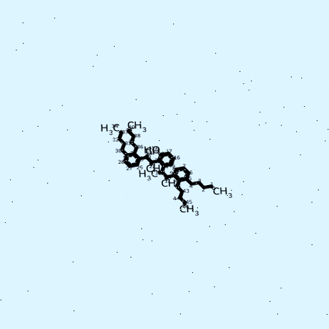 CCCCCc1cccc(C(C)C(C)c2cccc(O)c2C(C)C(C)c2cccc(CCCCC)c2CCCCC)c1CCCCC